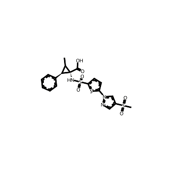 CC1[C@H](c2ccccc2)[C@]1(NS(=O)(=O)c1ccc(-n2cc(S(C)(=O)=O)cn2)s1)C(=O)O